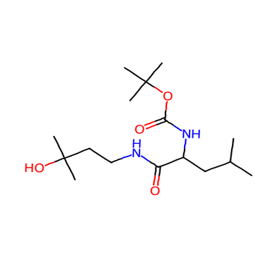 CC(C)CC(NC(=O)OC(C)(C)C)C(=O)NCCC(C)(C)O